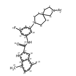 CC(=O)N1CCC2(CCN(c3cc(F)cc(NC(=O)c4cc5c(F)ccc(C)c5[nH]4)c3)CC2)C1